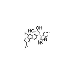 OC1CC(c2c3cc[c]cc3nc3sncc23)c2ccc3c4c(c(F)cc3c2C1O)C=CC(C1CC1)C4